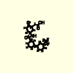 O=C(O)Cn1cc(NC(=O)c2cccc(-c3cccc(C(F)(F)F)c3)c2)ccc1=O